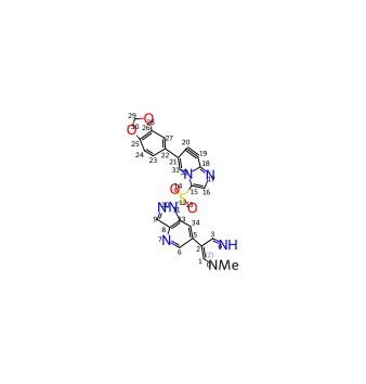 CN/C=C(\C=N)c1cnc2cnn(S(=O)(=O)c3cnc4c#cc(-c5ccc6c(c5)OCO6)cn34)c2c1